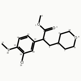 COC(=O)C(CC1CCOCC1)c1ccc(SC)c(Cl)c1